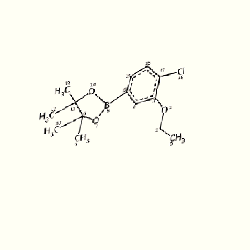 CCOc1cc(B2OC(C)(C)C(C)(C)O2)ccc1Cl